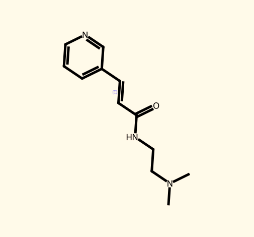 CN(C)CCNC(=O)/C=C/c1cccnc1